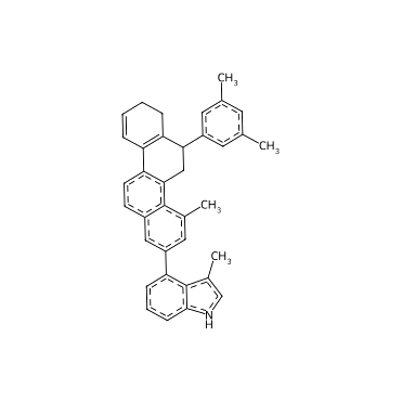 Cc1cc(C)cc(C2Cc3c(ccc4cc(-c5cccc6[nH]cc(C)c56)cc(C)c34)C3=C2CCC=C3)c1